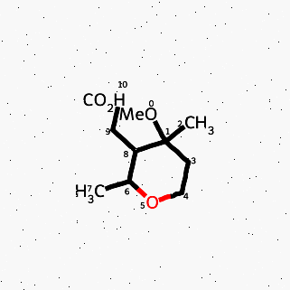 COC1(C)CCOC(C)C1CC(=O)O